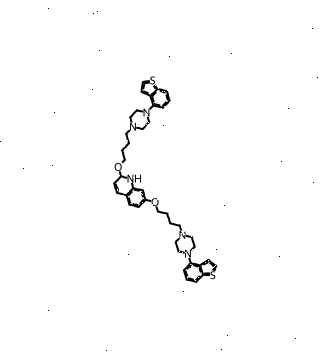 C1=CC(OCCCCN2CCN(c3cccc4sccc34)CC2)Nc2cc(OCCCCN3CCN(c4cccc5sccc45)CC3)ccc21